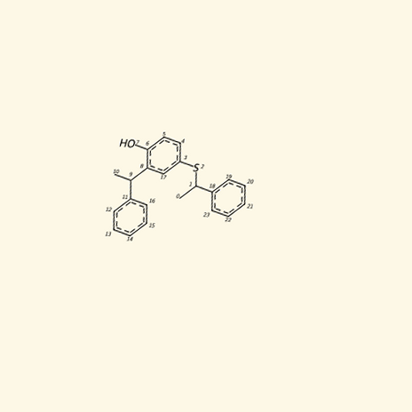 CC(Sc1ccc(O)c(C(C)c2ccccc2)c1)c1ccccc1